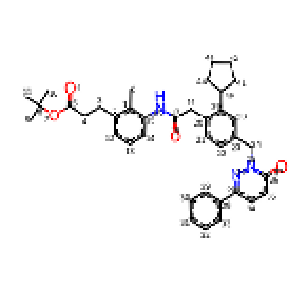 Cc1c(CCC(=O)OC(C)(C)C)cccc1NC(=O)Cc1ccc(Cn2nc(-c3ccccc3)ccc2=O)cc1C1CCCC1